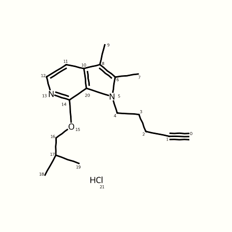 C#CCCCn1c(C)c(C)c2ccnc(OCC(C)C)c21.Cl